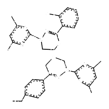 CCc1ccc(C2=NN(c3nc(C)cc(C)n3)COC2)cc1.Cc1cc(C)nc(N2CCSC(c3ccccc3Cl)=N2)n1